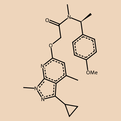 COc1ccc([C@H](C)N(C)C(=O)COc2cc(C)c3c(C4CC4)nn(C)c3n2)cc1